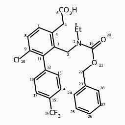 CCN(Cc1c(CC(=O)O)ccc(Cl)c1-c1ccc(C(F)(F)F)cc1)C(=O)OCc1ccccc1